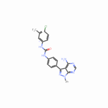 C=C(/C=C(\C=C/CCl)NC(=O)Nc1ccc(-c2nn(C(C)C)c3ncnc(N)c23)cc1)C(F)(F)F